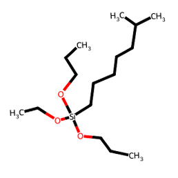 CCCO[Si](CCCCCC(C)C)(OCC)OCCC